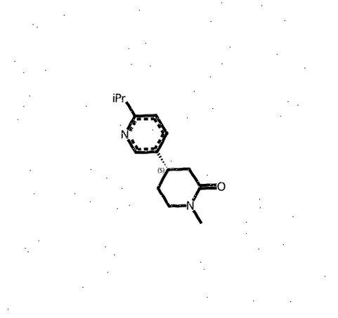 CC(C)c1ccc([C@H]2CCN(C)C(=O)C2)cn1